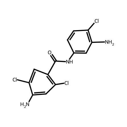 Nc1cc(NC(=O)c2cc(Cl)c(N)cc2Cl)ccc1Cl